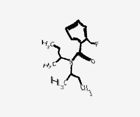 CCC(C)N(C(=O)c1ccccc1F)C(C)CC